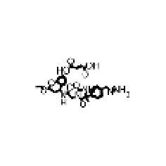 CCOC(=O)CC(NC(=O)CN1C(=O)NC(C)(c2ccc(C=NN)cc2)C1=O)c1ccccc1.O=C(O)C=CC(=O)O